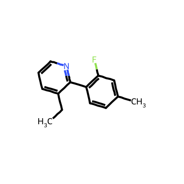 CCc1cccnc1-c1ccc(C)cc1F